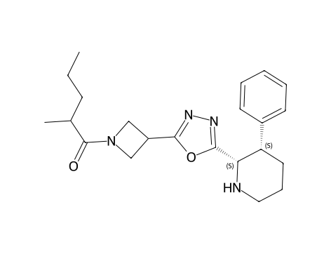 CCCC(C)C(=O)N1CC(c2nnc([C@H]3NCCC[C@H]3c3ccccc3)o2)C1